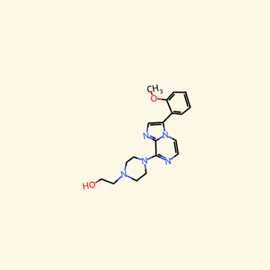 COc1ccccc1-c1cnc2c(N3CCN(CCO)CC3)nccn12